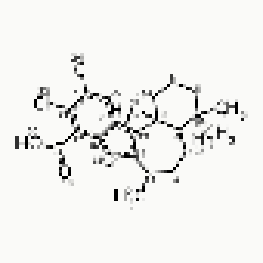 CC1CC[C@@H]2C(C)(C)CCC[C@@]2(C)c2c1oc1c(S(=O)O)c(Cl)c(Cl)cc21